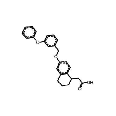 O=C(O)CC1CCCc2cc(OCc3cccc(Oc4ccccc4)c3)ccc21